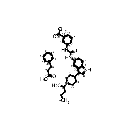 CCCC(C)N1CCC(c2c[nH]c3ccc(NC(=O)Nc4cccc(C(C)=O)c4)cc23)CC1.O=C(O)CCc1ccccc1